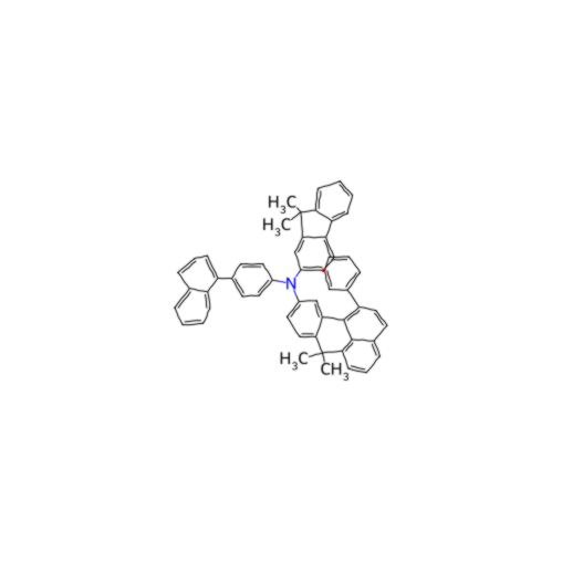 CC1(C)c2ccccc2-c2ccc(N(c3ccc(-c4cccc5ccccc45)cc3)c3ccc4c(c3)-c3c(-c5ccccc5)ccc5cccc(c35)C4(C)C)cc21